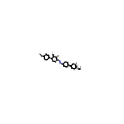 CCc1ccc(-c2ccc(/C=C/c3ccc(-c4ccc(OC)c(F)c4)cc3)c(F)c2F)cc1